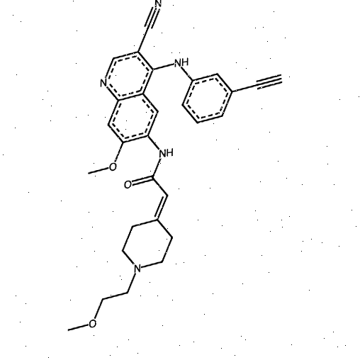 C#Cc1cccc(Nc2c(C#N)cnc3cc(OC)c(NC(=O)C=C4CCN(CCOC)CC4)cc23)c1